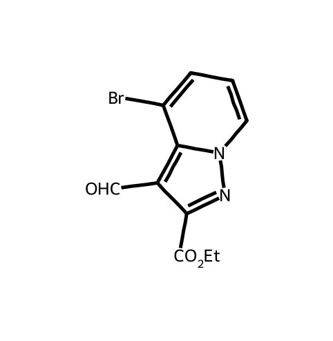 CCOC(=O)c1nn2cccc(Br)c2c1C=O